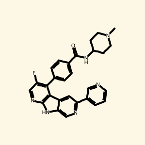 CN1CCC(NC(=O)c2ccc(-c3c(F)cnc4[nH]c5cnc(-c6cccnc6)cc5c34)cc2)CC1